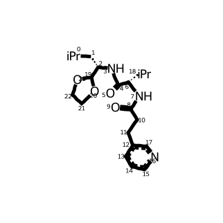 CC(C)C[C@H](NC(=O)[C@@H](NC(=O)CCc1cccnc1)C(C)C)C1OCCO1